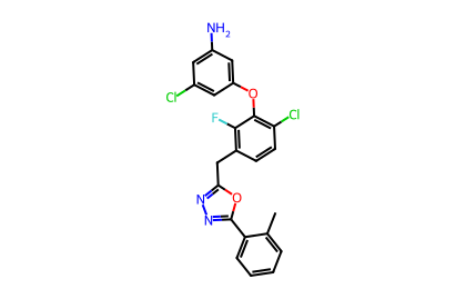 Cc1ccccc1-c1nnc(Cc2ccc(Cl)c(Oc3cc(N)cc(Cl)c3)c2F)o1